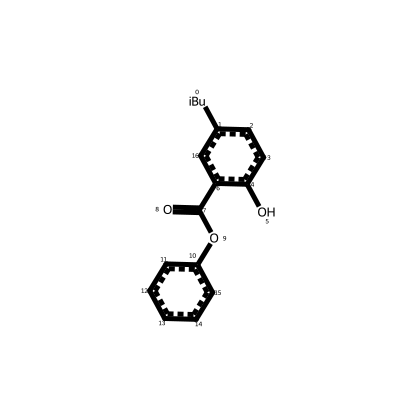 CCC(C)c1ccc(O)c(C(=O)Oc2ccccc2)c1